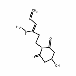 C=N/C=C(/CCN1C(=O)CC(O)CC1=O)NC